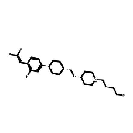 FCCCC[Si@H]1CC[C@H](CC[C@H]2CC[C@H](c3ccc(C=C(F)F)c(F)c3)CC2)CC1